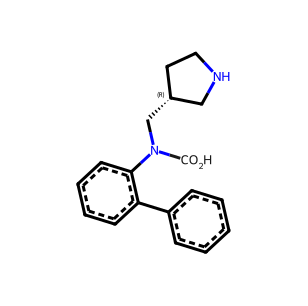 O=C(O)N(C[C@@H]1CCNC1)c1ccccc1-c1ccccc1